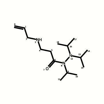 C=CCNCCC(=O)N(C(C)C)N(C(C)C)C(C)C